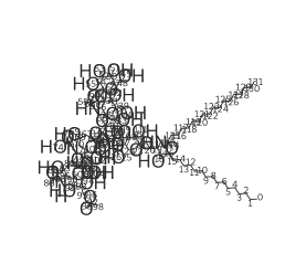 CCCCCCCCCCCCCCC/C=C/[C@H](O)[C@@H](CO[C@@H]1O[C@H](CO)[C@@H](O[C@@H]2O[C@H](CO)[C@H](O[C@@H]3O[C@H](CO)[C@H](O)[C@H](O[C@@H]4O[C@H](CO)[C@H](O)[C@H](O)[C@H]4O)[C@H]3NC(C)=O)[C@H](O[C@]3(C(=O)O)C[C@H](O)[C@@H](NC(=O)O)[C@H]([C@H](O[C@]4(C(=O)O)C[C@H](O)[C@@H](NC(C)=O)[C@H]([C@H](O)[C@H](O)COC(C)=O)O4)[C@H](O)CO)O3)[C@H]2O)[C@H](O)[C@H]1O)NC(=O)CCCCCCCCCCCCCCCCC